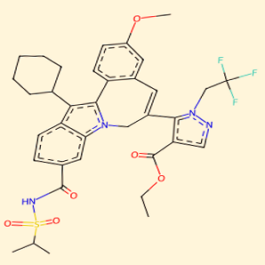 CCOC(=O)c1cnn(CC(F)(F)F)c1C1=Cc2cc(OC)ccc2-c2c(C3CCCCC3)c3ccc(C(=O)NS(=O)(=O)C(C)C)cc3n2C1